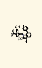 O=C1Nc2cccc(-c3ccncc3)c2/C1=C/c1[nH]cc(C(=O)O)c1CCO